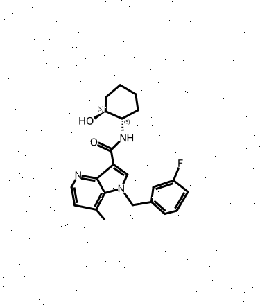 Cc1ccnc2c(C(=O)N[C@H]3CCCC[C@@H]3O)cn(Cc3cccc(F)c3)c12